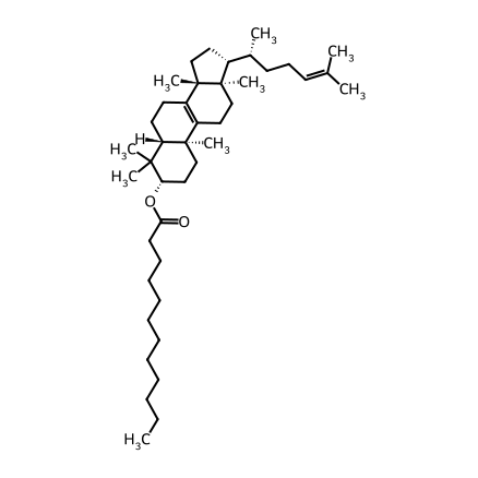 CCCCCCCCCCCC(=O)O[C@H]1CC[C@]2(C)C3=C(CC[C@H]2C1(C)C)[C@]1(C)CC[C@H]([C@H](C)CCC=C(C)C)[C@@]1(C)CC3